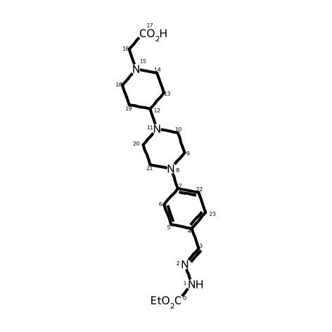 CCOC(=O)NN=Cc1ccc(N2CCN(C3CCN(CC(=O)O)CC3)CC2)cc1